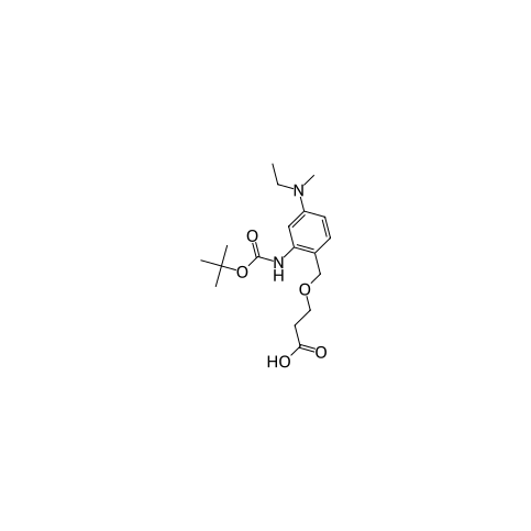 CCN(C)c1ccc(COCCC(=O)O)c(NC(=O)OC(C)(C)C)c1